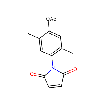 CC(=O)Oc1cc(C)c(N2C(=O)C=CC2=O)cc1C